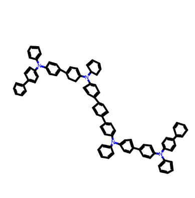 C1=CCC(N(C2=CC=C(c3ccc(N(c4ccccc4)c4ccc(-c5ccccc5)cc4)cc3)CC2)c2ccc(-c3ccc(-c4ccc(N(c5ccccc5)c5ccc(-c6ccc(N(c7ccccc7)c7ccc(-c8ccccc8)cc7)cc6)cc5)cc4)cc3)cc2)C=C1